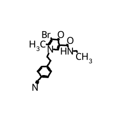 CCNC(=O)c1cn(CCc2ccc(C#N)cc2)c(C)c(Br)c1=O